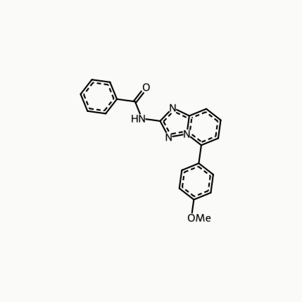 COc1ccc(-c2cccc3nc(NC(=O)c4ccccc4)nn23)cc1